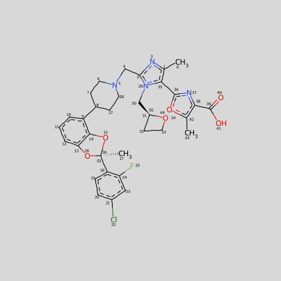 Cc1nc(CN2CCC(c3cccc4c3O[C@@](C)(c3ccc(Cl)cc3F)O4)CC2)n(C[C@@H]2CCO2)c1-c1nc(C(=O)O)c(C)o1